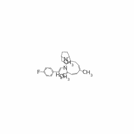 C=C1/C=C\C(C)=C/CC2=C(CC3CCC2N3C)N1/C=C(\C)c1ccc(F)cc1